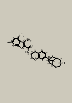 Cc1cc(C(F)(F)F)c2c(N)c(C(=O)N[C@H]3COc4cc(N5CC6CCNCC(C5)C6(F)F)ccc4C3)sc2n1